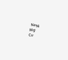 [Cu].[Mg].[Na].[Ni]